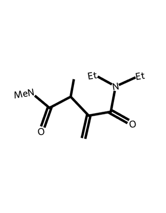 C=C(C(=O)N(CC)CC)C(C)C(=O)NC